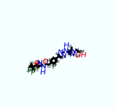 Cc1c(Nc2ncc(-c3ccc(CC(=O)Nc4cc(C5(C(F)(F)F)CC5)on4)c(F)c3)cn2)cnn1C[C@H](C)O